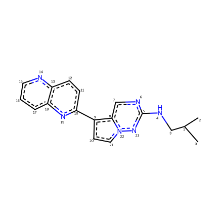 CC(C)CNc1ncc2c(-c3ccc4ncccc4n3)ccn2n1